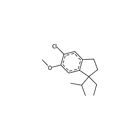 CCC1(C(C)C)CCc2cc(Cl)c(OC)cc21